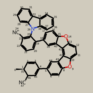 C[C@H]1C=CC(c2ccc3oc4ccc5oc6ccc(-c7cccc(C#N)c7-n7c8ccccc8c8ccccc87)cc6c5c4c3c2)=CC1C#N